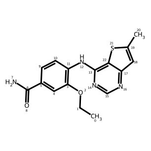 CCOc1cc(C(N)=O)ccc1Nc1ncnc2cc(C)sc12